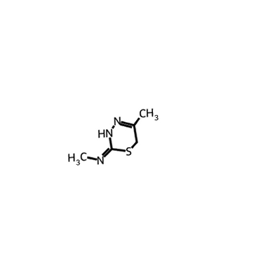 C/N=C1\NN=C(C)CS1